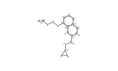 NCCCc1cccc2ccc(OCC3CC3)cc12